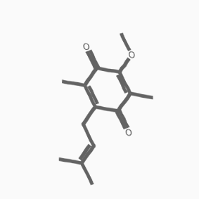 COC1=C(C)C(=O)C(CC=C(C)C)=C(C)C1=O